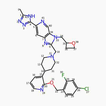 Cc1nnc(-c2cc3nc(CN4CCC(c5cccnc5OCc5ccc(Cl)cc5F)CC4)n(CC4CCO4)c3cn2)[nH]1